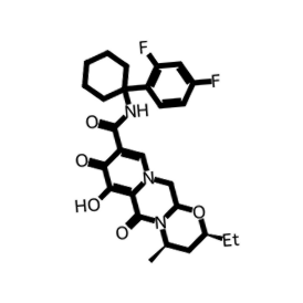 CC[C@H]1C[C@@H](C)N2C(=O)c3c(O)c(=O)c(C(=O)NC4(c5ccc(F)cc5F)CCCCC4)cn3CC2O1